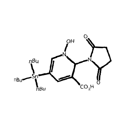 CCC[CH2][Sn]([CH2]CCC)([CH2]CCC)[C]1=CN(O)C(N2C(=O)CCC2=O)C(C(=O)O)=C1